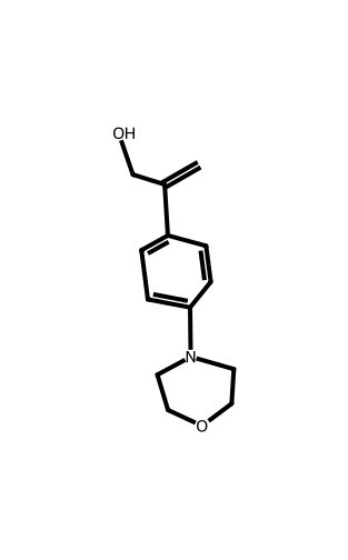 C=C(CO)c1ccc(N2CCOCC2)cc1